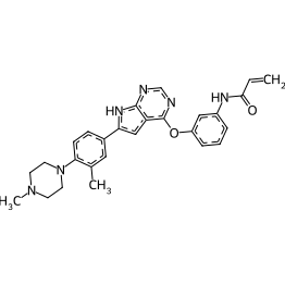 C=CC(=O)Nc1cccc(Oc2ncnc3[nH]c(-c4ccc(N5CCN(C)CC5)c(C)c4)cc23)c1